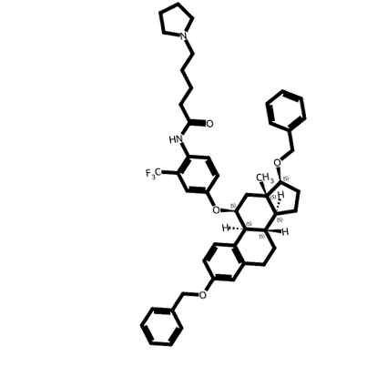 C[C@]12C[C@H](Oc3ccc(NC(=O)CCCCN4CCCC4)c(C(F)(F)F)c3)[C@@H]3c4ccc(OCc5ccccc5)cc4CC[C@H]3[C@@H]1CC[C@@H]2OCc1ccccc1